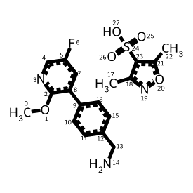 COc1ncc(F)cc1-c1ccc(CN)cc1.Cc1noc(C)c1S(=O)(=O)O